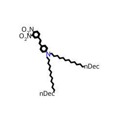 CCCCCCCCCCCCCCCCCCCCCCN(CCCCCCCCCCCCCCCCCCCCCC)c1ccc(C=Cc2ccc([N+](=O)[O-])c([N+](=O)[O-])c2)cc1